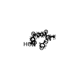 O=C(c1cc(OCC2CCOCC2)nc(C2CC2)c1)N1CC2=C(C1)CN(C(=O)c1ccc3c(O)noc3c1)C2